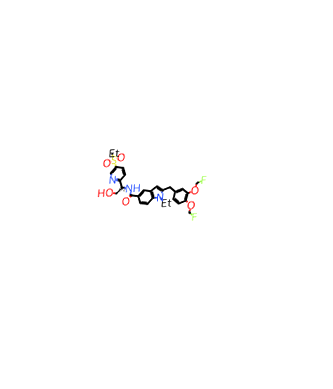 CCn1c(Cc2ccc(OCF)c(OCF)c2)cc2cc(C(=O)N[C@@H](CO)c3ccc(S(=O)(=O)CC)cn3)ccc21